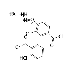 CC(C)(C)NN.COc1ccc(C(=O)Cl)cc1Cl.Cl.O=C(Cl)c1ccccc1